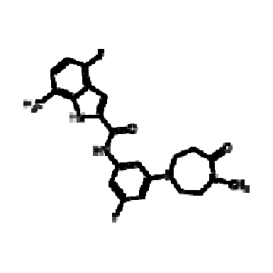 Cc1ccc(F)c2cc(C(=O)Nc3cc(F)cc(N4CCC(=O)N(C)CC4)c3)[nH]c12